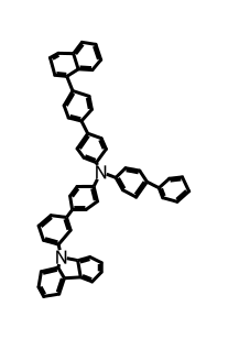 c1ccc(-c2ccc(N(c3ccc(-c4ccc(-c5cccc6ccccc56)cc4)cc3)c3ccc(-c4cccc(-n5c6ccccc6c6ccccc65)c4)cc3)cc2)cc1